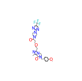 COc1ccc(CN2CCn3c(CCOCCC(=O)N4CCN(c5ncc(C(F)(F)F)cn5)CC4)nc(C)c3C2=O)cc1